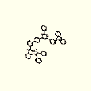 c1ccc(-c2nc(-c3ccc(-c4cccc(-c5nc6ccccc6c6c(-c7ccccc7)c(-c7ccccc7)oc56)c4)cc3)cc(-c3cccc(-n4c5ccccc5c5ccccc54)c3)n2)cc1